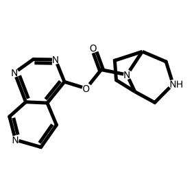 O=C(Oc1ncnc2cnccc12)N1C2CCC1CNC2